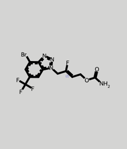 NC(=O)OC/C=C(\F)Cn1nnc2c(Br)cc(C(F)(F)F)cc21